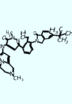 CN1CCn2nc(Nc3cc(-c4cccc(N5Cc6cc(C(C)(C)C)ccc6C5=O)c4CO)nn(C)c3=O)cc2C1